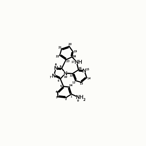 Nc1cccc(-c2nnc3n2-c2cccnc2Nc2ccccc2-3)c1